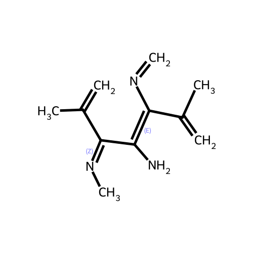 C=N/C(C(=C)C)=C(N)\C(=N/C)C(=C)C